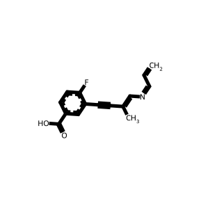 C=C/C=N\C=C(/C)C#Cc1cc(C(=O)O)ccc1F